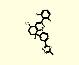 CC[C@@H]1CC[C@@](C)(c2ccnc(-c3nnc(C)o3)n2)c2nnc(-c3c(F)cccc3F)cc21